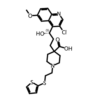 COc1ccc2ncc(Cl)c([C@@H](O)CCC3(C(=O)O)CCN(CCSc4cccs4)CC3)c2c1